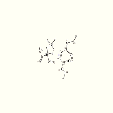 C=C[Si](C)(C=C)O[Si](C)(C)C.CCOC(=O)/C=C\C(=O)OCC.[Pt]